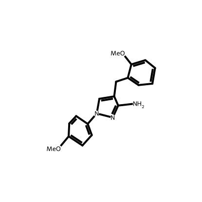 COc1ccc(-n2cc(Cc3ccccc3OC)c(N)n2)cc1